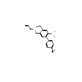 C=CC(=O)N1CCc2cc(N(C)C)c(-c3ccc(C(F)(F)F)cc3)cc2C1